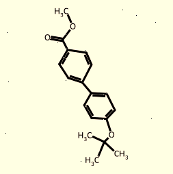 COC(=O)c1ccc(-c2ccc(OC(C)(C)C)cc2)cc1